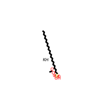 CCCCCCCCCCCCCCCCCCCCCCC(CS(=O)(=O)O)OC(C)=O.[KH]